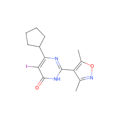 Cc1noc(C)c1-c1nc(C2CCCC2)c(I)c(=O)[nH]1